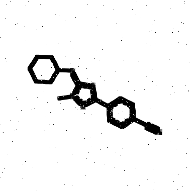 Cn1nc(-c2ccc(C#N)cc2)s/c1=N/C1CCCCC1